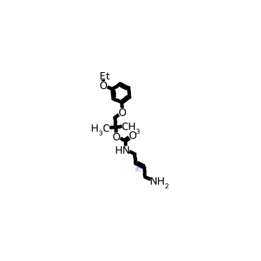 CCOc1cccc(OCC(C)(C)OC(=O)NC/C=C/CN)c1